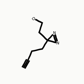 C#CCCC1(CC[O])N=N1